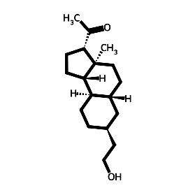 CC(=O)[C@H]1CC[C@H]2[C@@H]3CC[C@H](CCO)C[C@H]3CC[C@]12C